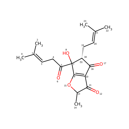 CC(C)=CCC(=O)C1(O)C2=C(C(=O)C(C)O2)C(=O)[C@H]1CC=C(C)C